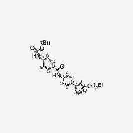 CCOC(=O)c1cc(-c2ccc(NC(=O)c3ccc(NC(=O)OC(C)(C)C)cc3)cc2)c[nH]1